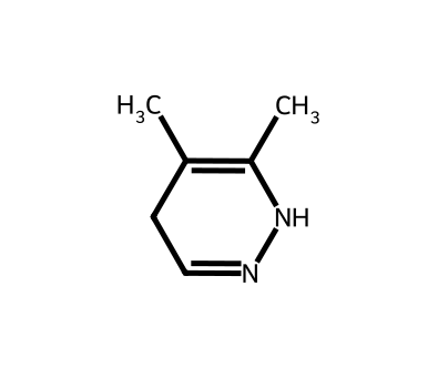 CC1=C(C)NN=CC1